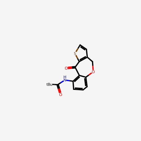 CC(C)(C)C(=O)Nc1cccc2c1C(=O)c1sccc1CO2